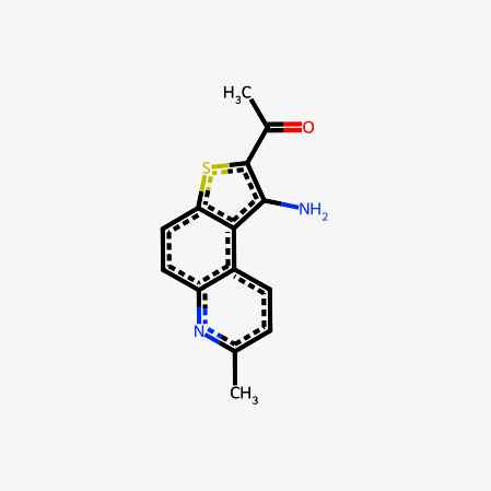 CC(=O)c1sc2ccc3nc(C)ccc3c2c1N